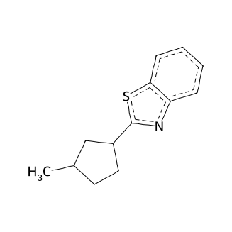 CC1CCC(c2nc3ccccc3s2)C1